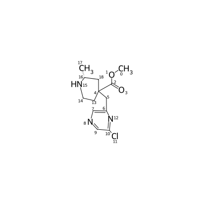 COC(=O)C1(Cc2cncc(Cl)n2)CCN[C@H](C)C1